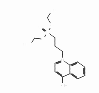 CCOP(=O)(CCC[n+]1ccc(C)c2ccccc21)OCC